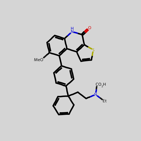 CCN(CCC1(c2ccc(-c3c(OC)ccc4[nH]c(=O)c5sccc5c34)cc2)C=CC=CC1)C(=O)O